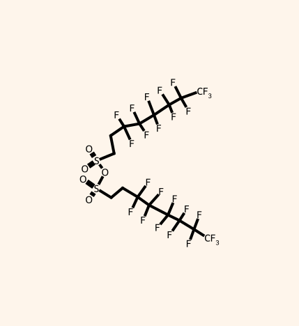 O=S(=O)(CCC(F)(F)C(F)(F)C(F)(F)C(F)(F)C(F)(F)C(F)(F)F)OS(=O)(=O)CCC(F)(F)C(F)(F)C(F)(F)C(F)(F)C(F)(F)C(F)(F)F